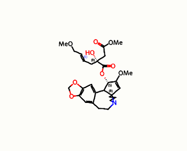 COC/C=C/C[C@@](O)(CC(=O)OC)C(=O)O[C@@H]1C(OC)=C[C@]23CCCN2CCc2cc4c(cc2C13)OCO4